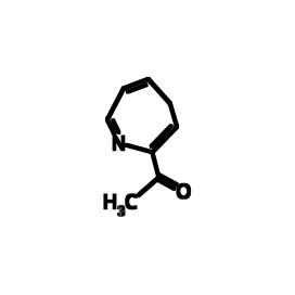 CC(=O)C1=CCC=CC=N1